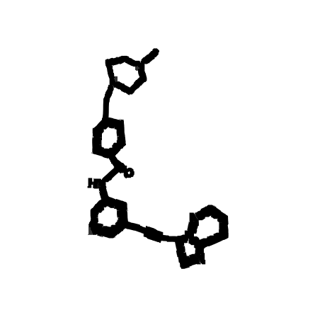 CN1CCN(Cc2ccc(C(=O)Nc3cncc(C#Cc4cnc5cccnn45)c3)cc2)CC1